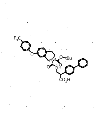 CC(C)(C)OC(=O)[N+]1(C(=O)NCC(C(=O)O)c2ccc(-c3ccccc3)cc2)CCc2ccc(Oc3ccc(C(F)(F)F)cc3)cc2C1